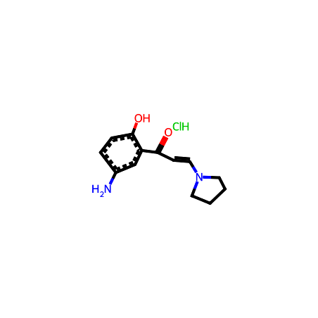 Cl.Nc1ccc(O)c(C(=O)C=CN2CCCC2)c1